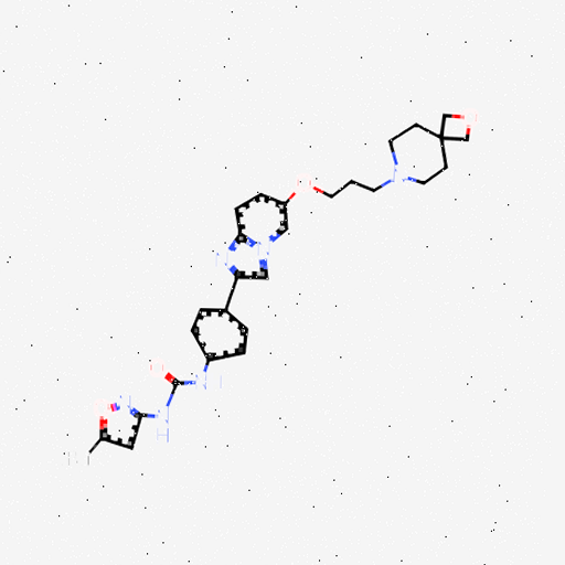 CC(C)(C)c1cc(NC(=O)Nc2ccc(-c3cn4cc(OCCCN5CCC6(CC5)COC6)ccc4n3)cc2)no1